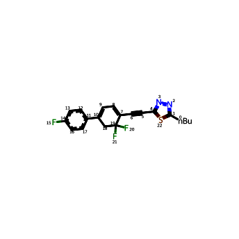 CCCCc1nnc(C#CC2=CC=C(c3ccc(F)cc3)CC2(F)F)s1